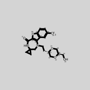 O=C1NC2(CC2)CN(CC[C@H]2CO[C@H](CO)CO2)c2c1oc1ccc(C(F)(F)F)cc21